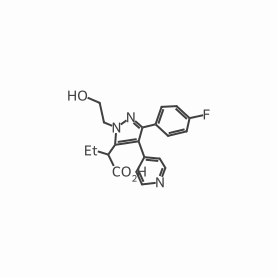 CCC(C(=O)O)c1c(-c2ccncc2)c(-c2ccc(F)cc2)nn1CCO